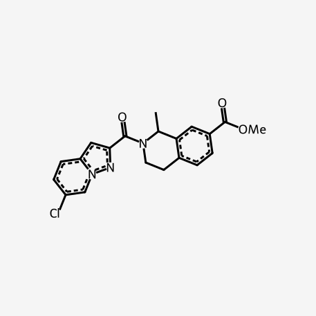 COC(=O)c1ccc2c(c1)C(C)N(C(=O)c1cc3ccc(Cl)cn3n1)CC2